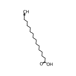 C#CCCCCCCCCCCCCCCC(=O)O